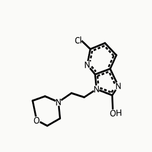 Oc1nc2ccc(Cl)nc2n1CCN1CCOCC1